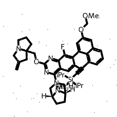 C=C1CN2CCCC2(COc2nc(N3C[C@H]4CC[C@@H](C3)N4C(=O)O)c3cc(F)c(-c4cc(OCOC)cc5cccc(C#C[Si](C(C)C)(C(C)C)C(C)C)c45)c(F)c3n2)C1